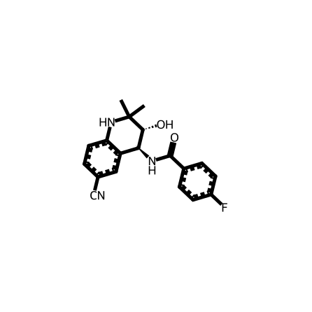 CC1(C)Nc2ccc(C#N)cc2[C@H](NC(=O)c2ccc(F)cc2)[C@H]1O